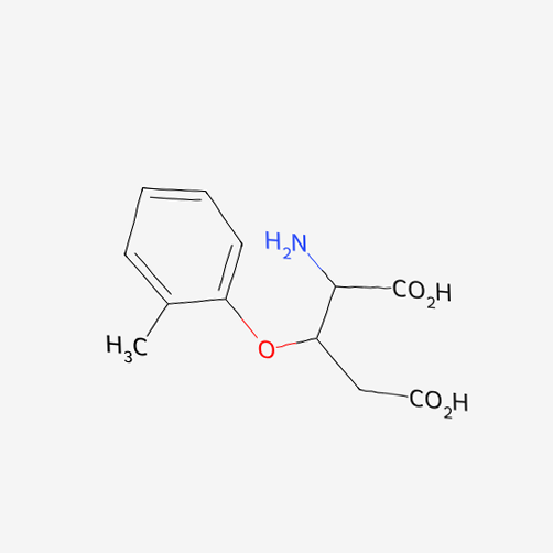 Cc1ccccc1OC(CC(=O)O)C(N)C(=O)O